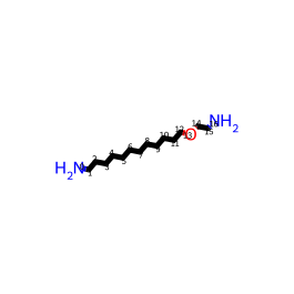 NCCCCCCCCCCCCOCCN